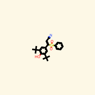 CC(C)(C)c1cc(/C(=C/C#N)S(=O)(=O)c2[c]cccc2)cc(C(C)(C)C)c1O